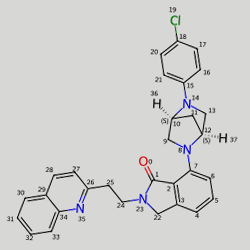 O=C1c2c(cccc2N2C[C@@H]3C[C@H]2CN3c2ccc(Cl)cc2)CN1CCc1ccc2ccccc2n1